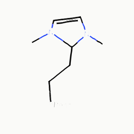 CCCCCCCC1N(C)C=CN1C